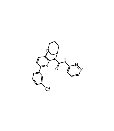 N#Cc1cccc(-c2ccc3c(n2)N(C(=O)Nc2cccnn2)C2CCCN3C2)c1